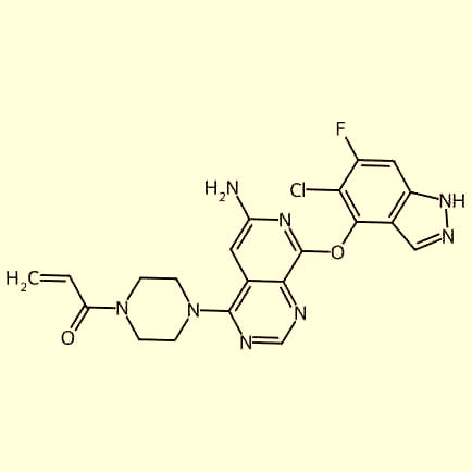 C=CC(=O)N1CCN(c2ncnc3c(Oc4c(Cl)c(F)cc5[nH]ncc45)nc(N)cc23)CC1